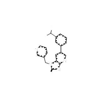 O=c1[nH]c2ncc(-c3cccc(C(F)F)c3)cc2n1Cc1cccnc1